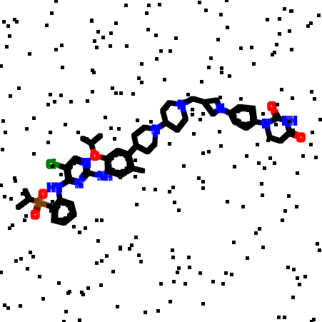 Cc1cc(Nc2ncc(Cl)c(Nc3ccccc3S(=O)(=O)C(C)C)n2)c(OC(C)C)cc1C1CCN(C2CCN(CC3CN(c4ccc(N5CCC(=O)NC5=O)cc4)C3)CC2)CC1